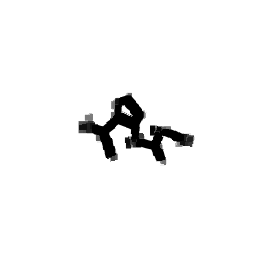 C=C(NCC)Nc1ccsc1C(=C)O